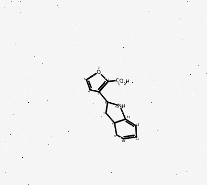 O=C(O)c1occc1C1CC2CC=CC=C2N1